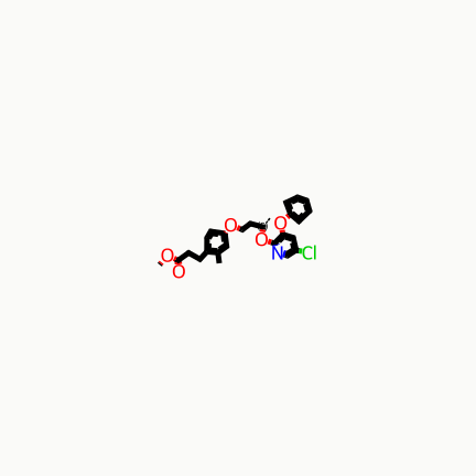 COC(=O)CCc1ccc(OCC[C@H](C)Oc2ncc(Cl)cc2Oc2ccccc2)cc1C